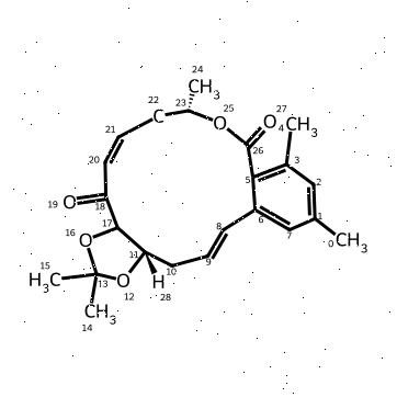 Cc1cc(C)c2c(c1)/C=C/C[C@@H]1OC(C)(C)OC1C(=O)/C=C\C[C@H](C)OC2=O